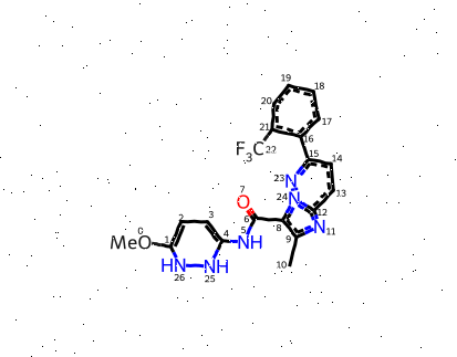 COC1=CC=C(NC(=O)c2c(C)nc3ccc(-c4ccccc4C(F)(F)F)nn23)NN1